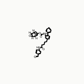 C[N+]1(C)[C@@H]2CC(OC(=O)Nc3cc(CCCCC(=O)Nc4ccc(C=O)cc4)ccc3-c3ccccc3)C[C@H]1[C@@H]1O[C@@H]12